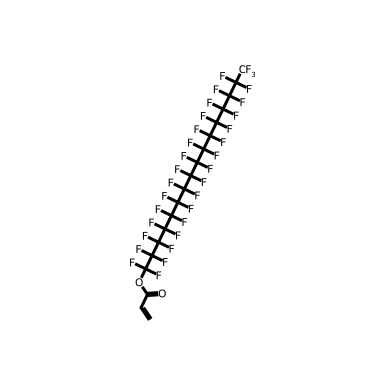 C=CC(=O)OC(F)(F)C(F)(F)C(F)(F)C(F)(F)C(F)(F)C(F)(F)C(F)(F)C(F)(F)C(F)(F)C(F)(F)C(F)(F)C(F)(F)C(F)(F)C(F)(F)C(F)(F)C(F)(F)F